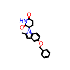 Cc1cc2cc(OCc3ccccc3)ccc2n1C1CCC(=O)NC1=O